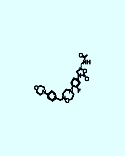 CC(=O)NC[C@H]1CN(c2ccc(N3CCON(Cc4ccc(N5CCOCC5)cc4)CC3)c(F)c2)C(=O)O1